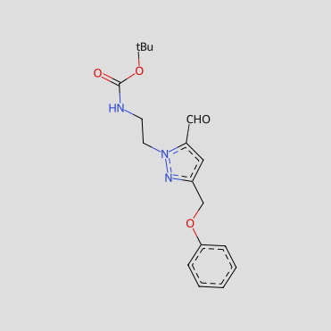 CC(C)(C)OC(=O)NCCn1nc(COc2ccccc2)cc1C=O